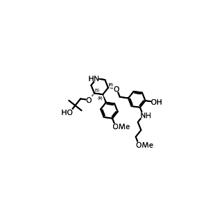 COCCCNc1cc(CO[C@H]2CNC[C@@H](OCC(C)(C)O)[C@@H]2c2ccc(OC)cc2)ccc1O